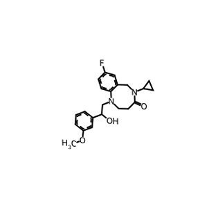 COc1cccc(C(O)CN2CCC(=O)N(C3CC3)Cc3cc(F)ccc32)c1